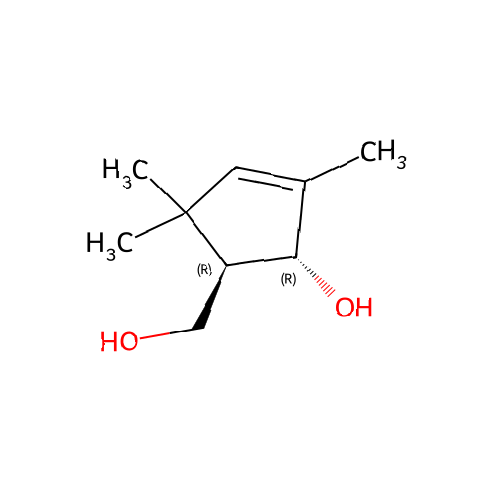 CC1=CC(C)(C)[C@H](CO)[C@H]1O